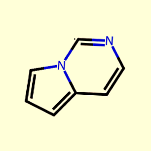 [c]1nccc2cccn12